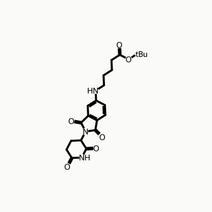 CC(C)(C)OC(=O)CCCCNc1ccc2c(c1)C(=O)N(C1CCC(=O)NC1=O)C2=O